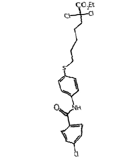 CCOC(=O)C(Cl)(Cl)CCCCCSc1ccc(NC(=O)c2ccc(Cl)cc2)cc1